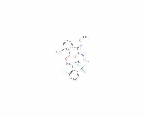 CNC(=O)/C(=N/OC)c1cccc(C)c1CO/N=C(\C)c1c(F)cccc1C(F)(F)F